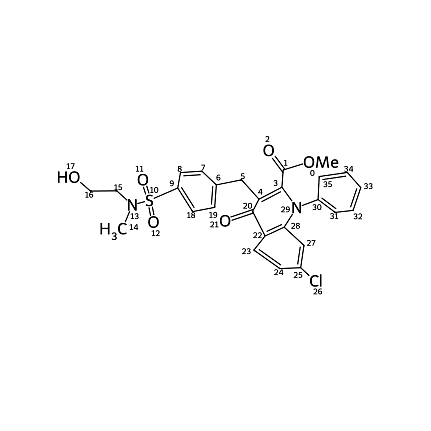 COC(=O)c1c(Cc2ccc(S(=O)(=O)N(C)CCO)cc2)c(=O)c2ccc(Cl)cc2n1-c1ccccc1